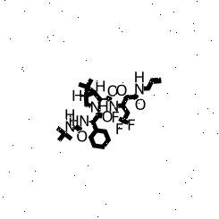 C=CCNC(=O)C(=O)C(CC(F)(F)F)NC(=O)[C@@H]1[C@@H]2[C@H](CN1C(=O)[C@@H](NC(=O)NC(C)(C)C)C1CCCCC1)C2(C)C